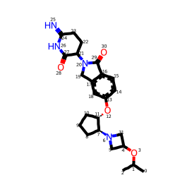 CC(C)OC1CN([C@H]2CCC[C@@H]2Oc2ccc3c(c2)CN(C2CCC(=N)NC2=O)C3=O)C1